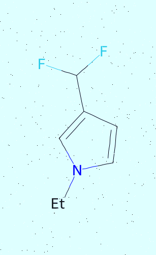 CCn1ccc(C(F)F)c1